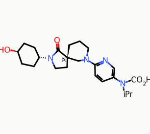 CC(C)N(C(=O)O)c1ccc(N2CCC[C@]3(CCN([C@H]4CC[C@H](O)CC4)C3=O)C2)nc1